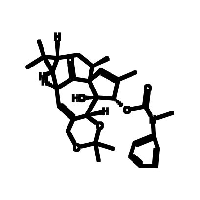 CC1=C[C@]23C(=O)[C@@H](C=C4COC(C)(C)O[C@H]4[C@]2(O)[C@H]1OC(=O)N(C)c1ccccc1)[C@H]1[C@@H](C[C@H]3C)C1(C)C